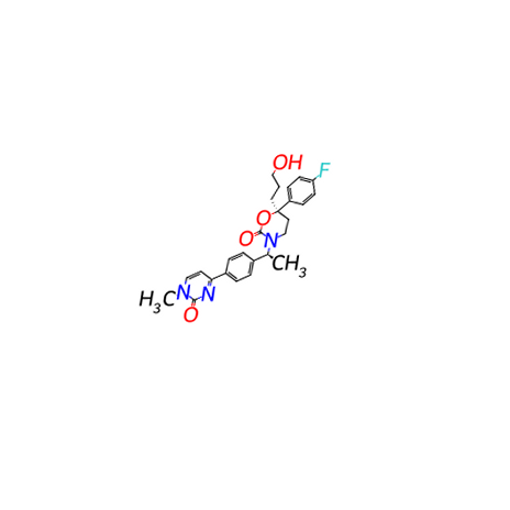 C[C@@H](c1ccc(-c2ccn(C)c(=O)n2)cc1)N1CC[C@](CCCO)(c2ccc(F)cc2)OC1=O